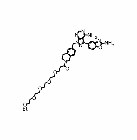 CCOCCOCCOCCOCCOCCC(=O)N1CCc2cc(Cn3nc(-c4ccc5oc(N)nc5c4)c4c(N)ncnc43)ccc2C1